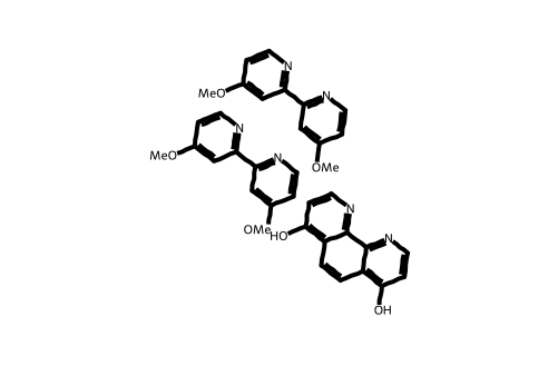 COc1ccnc(-c2cc(OC)ccn2)c1.COc1ccnc(-c2cc(OC)ccn2)c1.Oc1ccnc2c1ccc1c(O)ccnc12